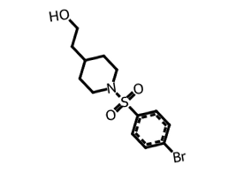 O=S(=O)(c1ccc(Br)cc1)N1CCC(CCO)CC1